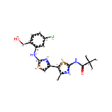 Cc1nc(NC(=O)C(C)(C)C)sc1-c1csc(Nc2cc(Cl)ccc2CO)n1